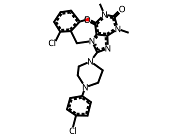 Cn1c(=O)c2c(nc(N3CCN(c4ccc(Cl)cc4)CC3)n2Cc2c(F)cccc2Cl)n(C)c1=O